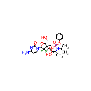 CC(C)N(C(C)C(=O)O)P(=O)(OC[C@]1(C)[C@@H](CO)O[C@H](n2ccc(N)nc2=O)C1(F)F)Oc1ccccc1